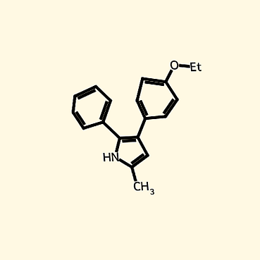 CCOc1ccc(-c2cc(C)[nH]c2-c2ccccc2)cc1